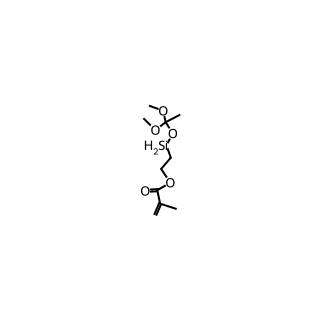 C=C(C)C(=O)OCC[SiH2]OC(C)(OC)OC